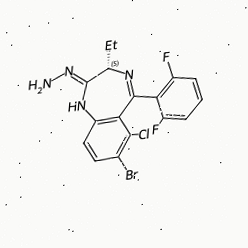 CC[C@@H]1N=C(c2c(F)cccc2F)c2c(ccc(Br)c2Cl)NC1=NN